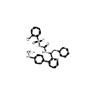 O=C(O)Nc1ccc(-c2cccnc2C(Cc2ccccc2)NC(=O)NS(=O)(=O)c2ccccc2Cl)cc1